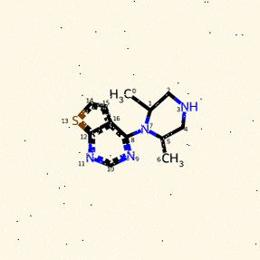 CC1CNCC(C)N1c1ncnc2sccc12